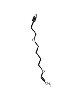 C=COCCCCOCCC#N